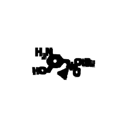 CC(C)(C)OC(=O)N(Cc1cc(N)cc(CO)c1)C1CC1